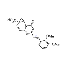 COc1cccc(/C=C/c2cc(=O)n3c(n2)C=CC2(C(=O)O)CC32)c1OC